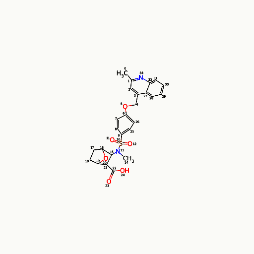 Cc1cc(COc2ccc(S(=O)(=O)N(C)C3C4CCC(O4)C3C(=O)O)cc2)c2ccccc2n1